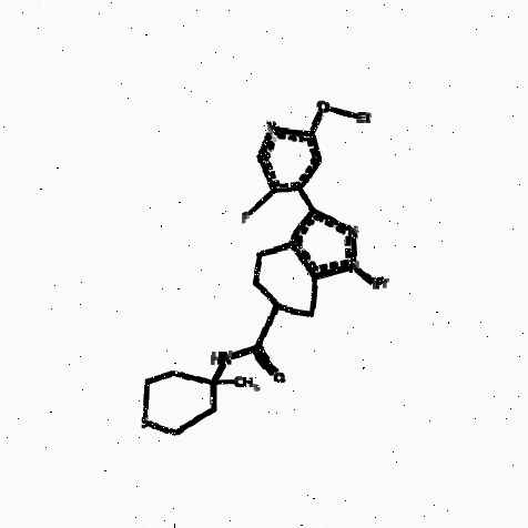 CCOc1cc(-c2nn(C(C)C)c3c2CCC(C(=O)NC2(C)CCSCC2)C3)c(F)cn1